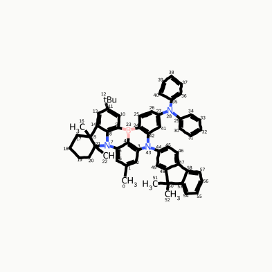 Cc1cc2c3c(c1)N1c4c(cc(C(C)(C)C)cc4C4(C)CCCCC14C)B3c1ccc(N(c3ccccc3)c3ccccc3)cc1N2c1ccc2c(c1)C(C)(C)c1ccccc1-2